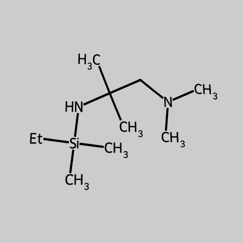 CC[Si](C)(C)NC(C)(C)CN(C)C